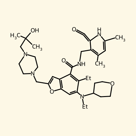 CCc1c(N(CC)C2CCOCC2)cc2oc(CN3CCN(CC(C)(C)O)CC3)cc2c1C(=O)NCC1=C(C)C=C(C)NC1=C=O